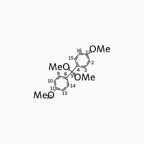 COc1ccc(C(OC)(OC)c2ccc(OC)cc2)cc1